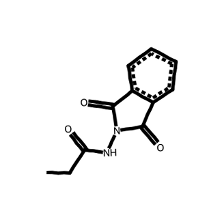 CCC(=O)NN1C(=O)c2ccccc2C1=O